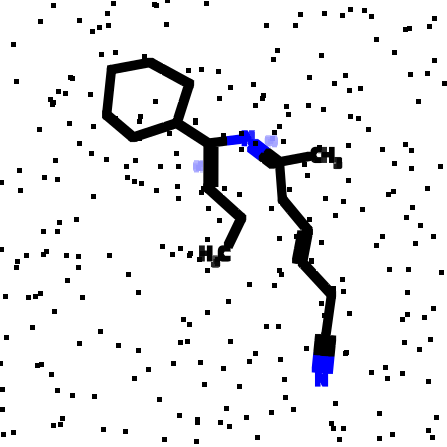 CC/C=C(\N=C(\C)CC=CCC#N)C1CCCCC1